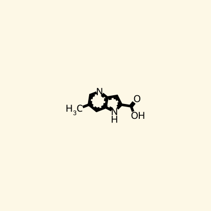 Cc1cnc2cc(C(=O)O)[nH]c2c1